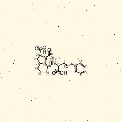 C[C@H](NC(CSCc1ccccc1)C(=O)O)C(=O)N1C2CCCCC2C[C@H]1C(=O)O